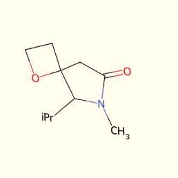 CC(C)C1N(C)C(=O)CC12CCO2